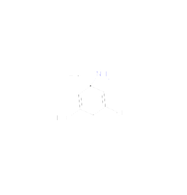 CC1=CC(C)(N)C=C(C)[CH]1